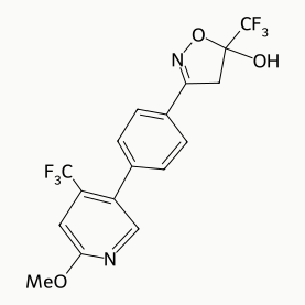 COc1cc(C(F)(F)F)c(-c2ccc(C3=NOC(O)(C(F)(F)F)C3)cc2)cn1